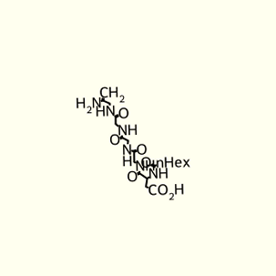 C=C(N)CNC(=O)CNC(=O)CNC(=O)CNC(=O)C(CC(=O)O)NC(=O)CCCCCC